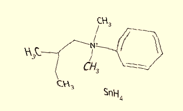 CC(C)C[N+](C)(C)c1ccccc1.[SnH4]